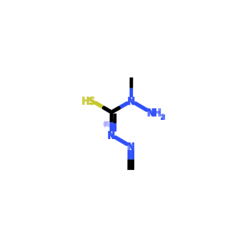 C=N/N=C(/S)N(C)N